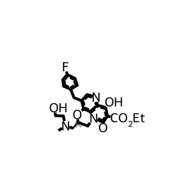 CCOC(=O)c1c(O)c2ncc(Cc3ccc(F)cc3)c3c2n(c1=O)C[C@@H](CN(C)CCO)O3